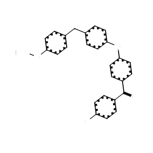 COc1ccc(Cc2ccc(Oc3ccc(C(=O)c4ccc(C)cc4)cc3)cc2)cc1